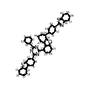 c1ccc(-c2nc(-c3ccc4c(c3)sc3ccccc34)nc(-c3cccc4oc5c(-c6ccc(-c7nc8ccccc8s7)cc6)cccc5c34)n2)cc1